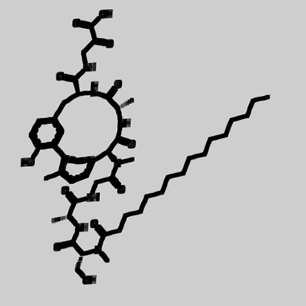 CCCCCCCCCCCCCCCC(=O)N(C)[C@H](CO)C(=O)N[C@H](C)C(=O)NCC(=O)N(C)[C@@H]1C(=O)N[C@@H](C)C(=O)N[C@H](C(=O)NCC(=O)C(=O)O)Cc2ccc(O)c(c2)-c2cc1ccc2C